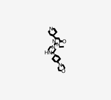 CCn1c(N2CCN[C@@H](c3ccc(N4CCOCC4)cc3)C2)nc(-c2ccncc2)cc1=O